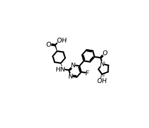 O=C(c1cccc(-c2nc(N[C@H]3CC[C@H](C(=O)O)CC3)ncc2F)c1)N1CC[C@H](O)C1